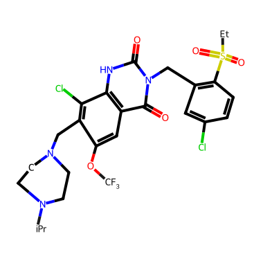 CCS(=O)(=O)c1ccc(Cl)cc1Cn1c(=O)[nH]c2c(Cl)c(CN3CCN(C(C)C)CC3)c(OC(F)(F)F)cc2c1=O